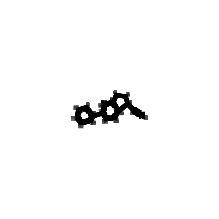 N#CC1CCc2nc(-c3ccccc3)ccc21